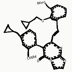 COc1cc(C2CC2)ccc1-c1c(C=Cc2cccc(OC)c2OCC2CC2)nc2sccn2c1=O